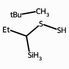 CC(C)(C)C.CCC([SiH3])SS